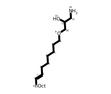 CCCCCCCC/C=C/CCCCCCOCC(O)CN